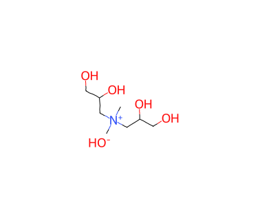 C[N+](C)(CC(O)CO)CC(O)CO.[OH-]